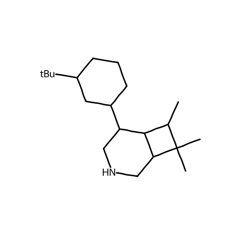 CC1C2C(C3CCCC(C(C)(C)C)C3)CNCC2C1(C)C